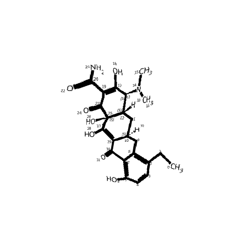 CCc1ccc(O)c2c1C[C@@H]1C[C@H]3[C@H](N(C)C)C(O)=C(C(N)=O)C(=O)[C@@]3(O)C(O)=C1C2=O